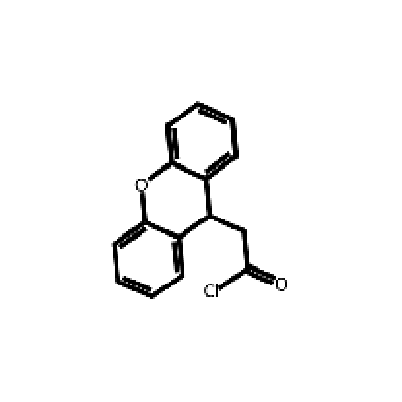 O=C(Cl)CC1c2ccccc2Oc2ccccc21